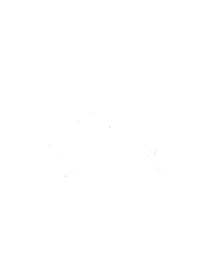 Cc1cc(NN)ccc1OC1=C(F)C=CC(C)C1